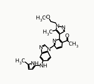 COCCn1ncc(-c2nc(-n3cnc4cc(Nc5ccc(C)[nH]5)ccc43)ccc2C(C)=O)c1C